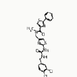 CN(Cc1csc(NC(=O)NCc2ccc(Cl)c(Cl)c2)n1)C(=O)c1csc(-c2ccccc2)n1